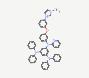 CN1C=CN(c2cccc(Oc3cccc(N(c4cc(N(c5ccccc5)c5ccccc5)cc(N(c5ccccc5)c5ccccc5)c4)c4ccccn4)c3)c2)C1